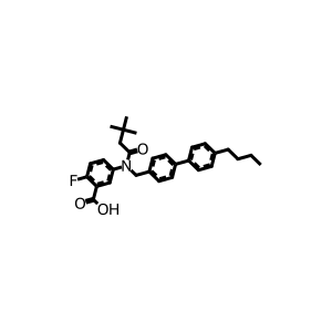 CCCCc1ccc(-c2ccc(CN(C(=O)CC(C)(C)C)c3ccc(F)c(C(=O)O)c3)cc2)cc1